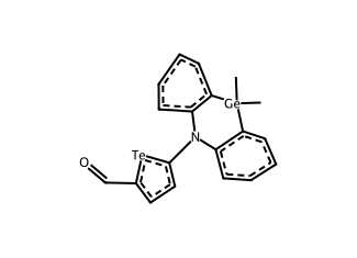 [CH3][Ge]1([CH3])[c]2ccccc2N(c2ccc(C=O)[te]2)c2cccc[c]21